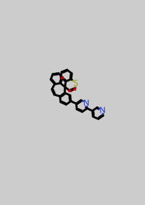 C1=Cc2ccc(-c3ccc(-c4cccnc4)nc3)cc2C2(c3ccccc31)c1ccccc1Sc1ccccc12